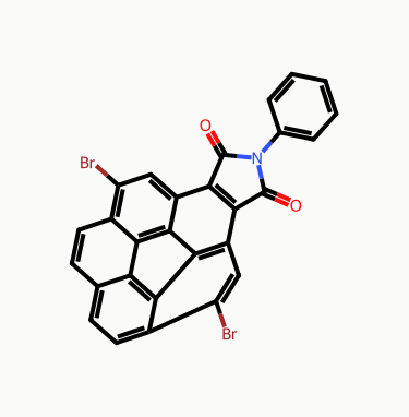 O=c1c2c3cc(Br)c4ccc5ccc6c(Br)cc(c2c(=O)n1-c1ccccc1)c1c6c5c4c31